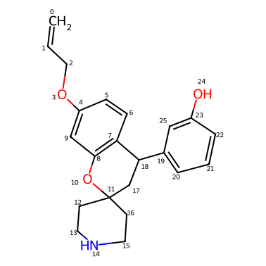 C=CCOc1ccc2c(c1)OC1(CCNCC1)CC2c1cccc(O)c1